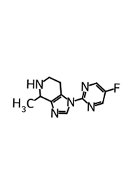 CC1NCCc2c1ncn2-c1ncc(F)cn1